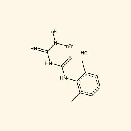 CCCN(CCC)C(=N)NC(=S)Nc1c(C)cccc1C.Cl